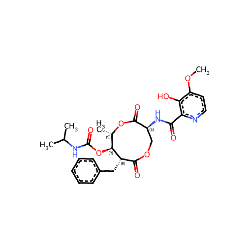 COc1ccnc(C(=O)N[C@H]2COC(=O)[C@H](Cc3ccccc3)[C@@H](OC(=O)NC(C)C)[C@H](C)OC2=O)c1O